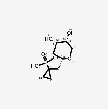 O=P(O)(O)C1(C[C@@H]2C[C@H](O)[C@H](O)CO2)CC1